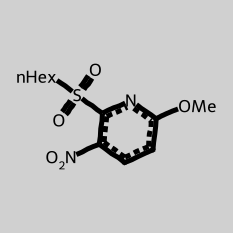 CCCCCCS(=O)(=O)c1nc(OC)ccc1[N+](=O)[O-]